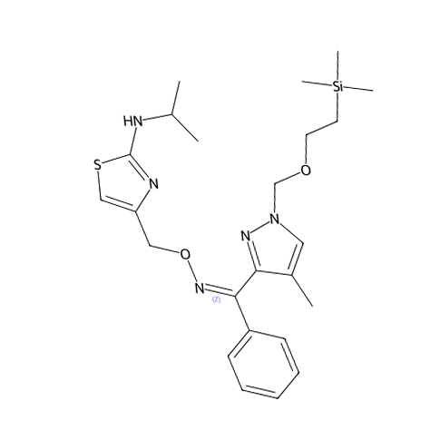 Cc1cn(COCC[Si](C)(C)C)nc1/C(=N\OCc1csc(NC(C)C)n1)c1ccccc1